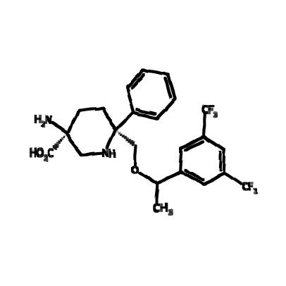 CC(OC[C@@]1(c2ccccc2)CC[C@@](N)(C(=O)O)CN1)c1cc(C(F)(F)F)cc(C(F)(F)F)c1